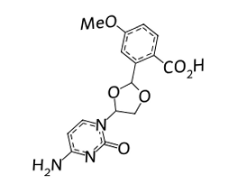 COc1ccc(C(=O)O)c(C2OCC(n3ccc(N)nc3=O)O2)c1